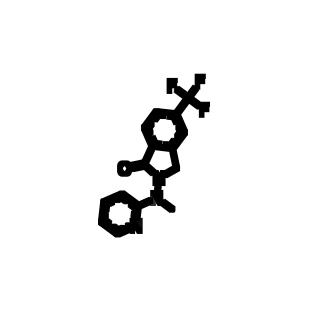 CN(c1ccccn1)N1Cc2cc(C(F)(F)F)ccc2C1=O